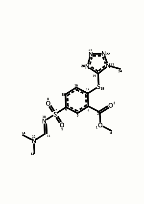 COC(=O)c1cc(S(=O)(=O)N=CN(C)C)ccc1Sc1nnnn1C